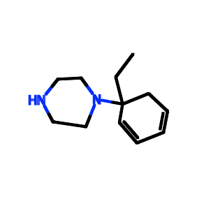 CCC1(N2CCNCC2)C=CC=CC1